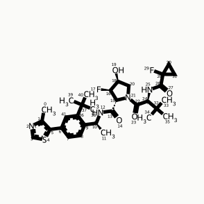 Cc1ncsc1-c1ccc([C@H](C)NC(=O)[C@@H]2[C@@H](F)[C@@H](O)CN2C(=O)[C@@H](NC(=O)C2(F)CC2)C(C)(C)C)c(C(C)(C)C)c1